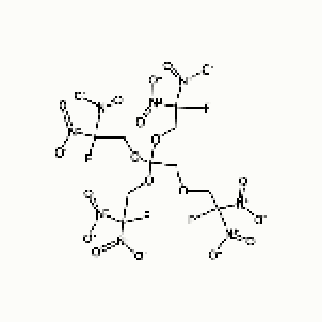 O=[N+]([O-])C(F)(COCC(OCC(F)([N+](=O)[O-])[N+](=O)[O-])(OCC(F)([N+](=O)[O-])[N+](=O)[O-])OCC(F)([N+](=O)[O-])[N+](=O)[O-])[N+](=O)[O-]